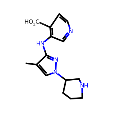 Cc1cn(C2CCCNC2)nc1Nc1cnccc1C(=O)O